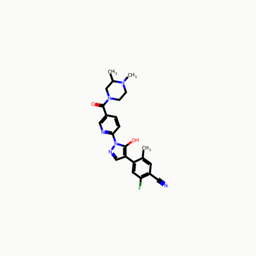 Cc1cc(C#N)c(F)cc1-c1cnn(-c2ccc(C(=O)N3CCN(C)C(C)C3)cn2)c1O